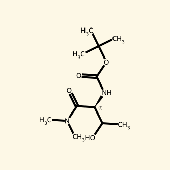 CC(O)[C@H](NC(=O)OC(C)(C)C)C(=O)N(C)C